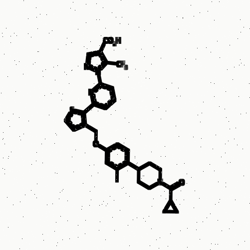 Cc1cc(OCc2ccsc2-c2cccc(-n3ncc(C(=O)O)c3C(F)(F)F)n2)ccc1C1CCN(C(=O)C2CC2)CC1